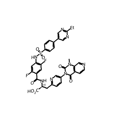 CCc1ncc(-c2ccc(S(=O)(=O)Nc3cc(F)c(C(=O)N[C@@H](Cc4ccc(-n5c(=O)c6ccncc6n(C)c5=O)cn4)C(=O)O)cc3F)cc2)cn1